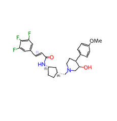 COc1ccc(C2CCN(C[C@@H]3CC[C@H](NC(=O)/C=C/c4cc(F)c(F)c(F)c4)C3)CC2O)cc1